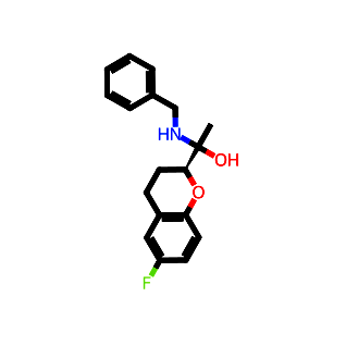 CC(O)(NCc1ccccc1)[C@@H]1CCc2cc(F)ccc2O1